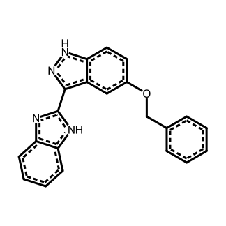 c1ccc(COc2ccc3[nH]nc(-c4nc5ccccc5[nH]4)c3c2)cc1